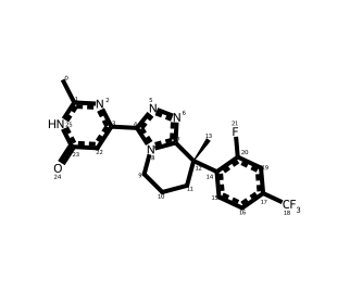 Cc1nc(-c2nnc3n2CCC[C@@]3(C)c2ccc(C(F)(F)F)cc2F)cc(=O)[nH]1